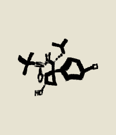 CC(C)C[C@@H](N[S@+]([O-])C(C)(C)C)[C@]1(c2ccc(Cl)cc2)C[C@H](O)C1